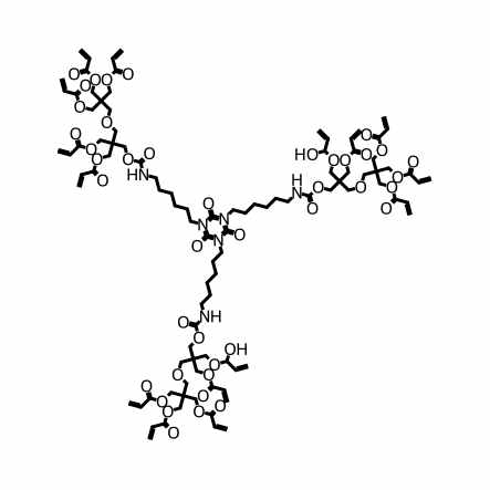 C=CC(=O)OCC(COCC(COC(=O)C=C)(COC(=O)C=C)COC(=O)NCCCCCCn1c(=O)n(CCCCCCNC(=O)OCC(COCC(COC(=O)C=C)(COC(=O)C=C)COC(=O)C=C)(COC(=O)C=C)COC(O)C=C)c(=O)n(CCCCCCNC(=O)OCC(COCC(COC(=O)C=C)(COC(=O)C=C)COC(=O)C=C)(COC(=O)C=C)COC(O)C=C)c1=O)(COC(=O)C=C)COC(=O)C=C